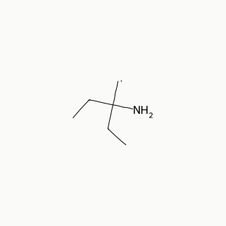 [CH2]C(N)(CC)CC